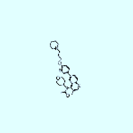 CC(=O)N(c1c(C)cnc2ccc(-c3ccc(OCCCN4CCCCC4)nc3)cc12)C1CCOCC1